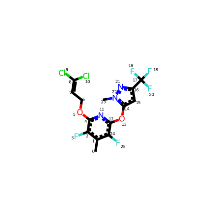 Cc1c(F)c(OCC=C(Cl)Cl)nc(Oc2cc(C(F)(F)F)nn2C)c1F